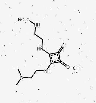 CN(C)CCNc1c(NCCNC(=O)O)c(=O)c1=O.Cl